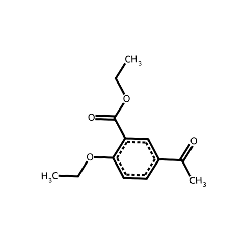 CCOC(=O)c1cc(C(C)=O)ccc1OCC